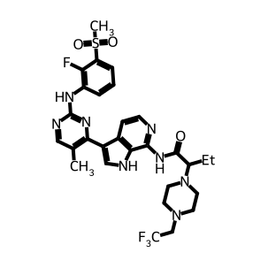 CCC(C(=O)Nc1nccc2c(-c3nc(Nc4cccc(S(C)(=O)=O)c4F)ncc3C)c[nH]c12)N1CCN(CC(F)(F)F)CC1